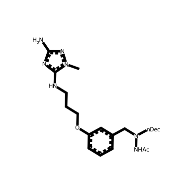 CCCCCCCCCCN(Cc1cccc(OCCCNc2nc(N)nn2C)c1)NC(C)=O